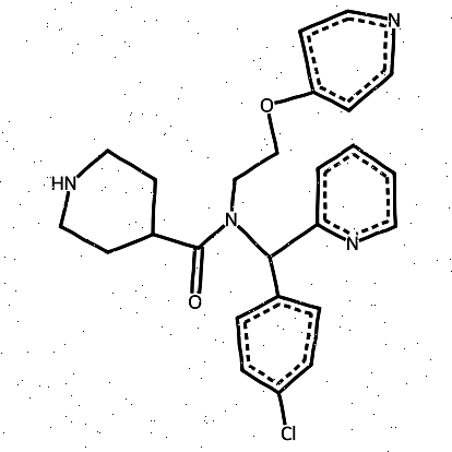 O=C(C1CCNCC1)N(CCOc1ccncc1)C(c1ccc(Cl)cc1)c1ccccn1